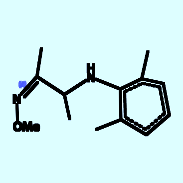 CO/N=C(/C)C(C)Nc1c(C)cccc1C